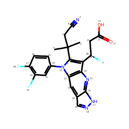 CC(C)(CC#N)c1c([C@H](F)CC(=O)O)c2nc3[nH]ncc3cc2n1-c1ccc(F)c(F)c1